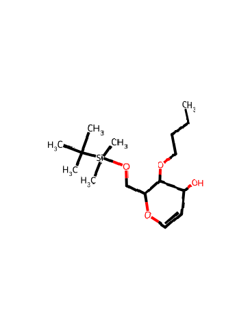 CCCCOC1C(O)C=COC1CO[Si](C)(C)C(C)(C)C